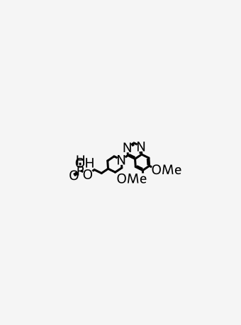 COc1cc2ncnc(N3CCC(CCO[PH](=O)O)CC3)c2cc1OC